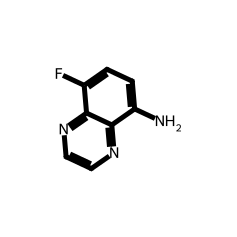 Nc1ccc(F)c2nccnc12